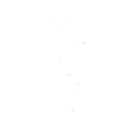 CS(=O)(=O)CCO/N=C\c1cc(C(=O)NOCCO)c(Nc2ccc(I)cc2F)c(F)c1F